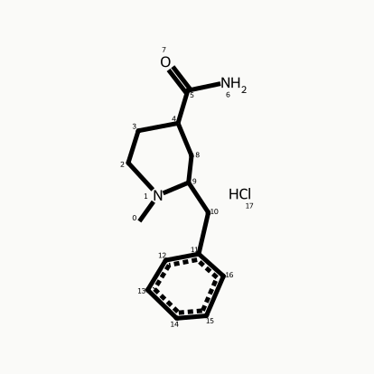 CN1CCC(C(N)=O)CC1Cc1ccccc1.Cl